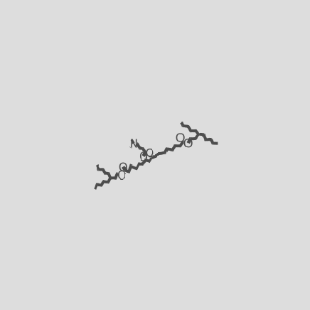 CCCCCC(CCCCC)CCOC(=O)CCCCCCCC(CCCCCCCC(=O)OCCC(CCCCC)CCCCC)OC(=O)CCCN(C)C